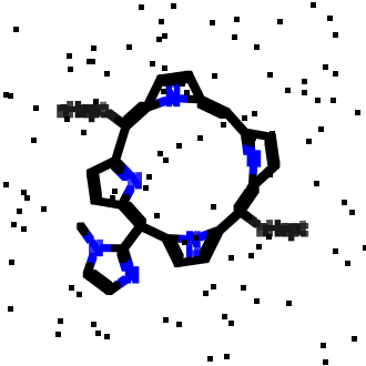 CCCCCCCc1c2nc(c(-c3nccn3C)c3ccc([nH]3)c(CCCCCCC)c3nc(cc4ccc1[nH]4)C=C3)C=C2